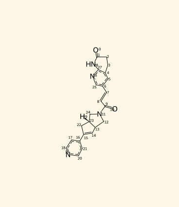 O=C1CCc2cc(/C=C/C(=O)N3CC4C=C(c5ccncc5)C[C@@H]4C3)cnc2N1